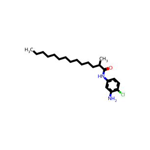 CCCCCCCCCCCCC(C)C(=O)Nc1ccc(Cl)c(N)c1